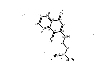 CCCN(CCC)CCNC1=CC(=O)c2nccnc2C1=O